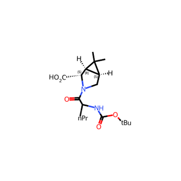 CCCC(NC(=O)OC(C)(C)C)C(=O)N1C[C@H]2[C@@H]([C@H]1C(=O)O)C2(C)C